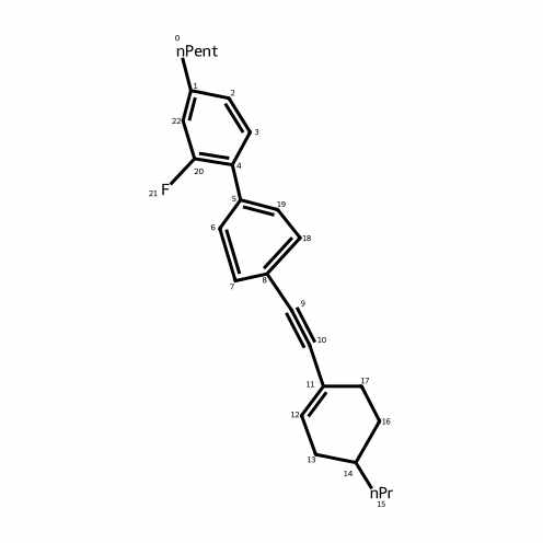 CCCCCc1ccc(-c2ccc(C#CC3=CCC(CCC)CC3)cc2)c(F)c1